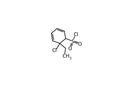 CCC1(Cl)C=CC=CC1S(=O)(=O)Cl